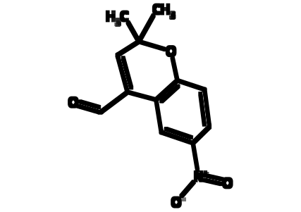 CC1(C)C=C(C=O)c2cc([N+](=O)[O-])ccc2O1